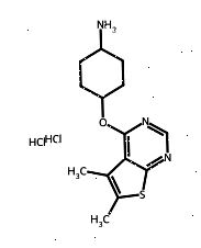 Cc1sc2ncnc(OC3CCC(N)CC3)c2c1C.Cl.Cl